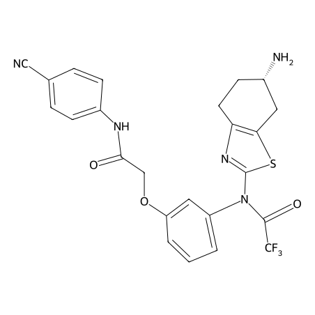 N#Cc1ccc(NC(=O)COc2cccc(N(C(=O)C(F)(F)F)c3nc4c(s3)C[C@@H](N)CC4)c2)cc1